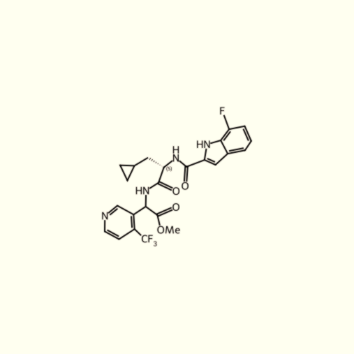 COC(=O)C(NC(=O)[C@H](CC1CC1)NC(=O)c1cc2cccc(F)c2[nH]1)c1cnccc1C(F)(F)F